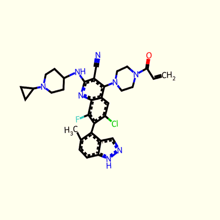 C=CC(=O)N1CCN(c2c(C#N)c(NC3CCN(C4CC4)CC3)nc3c(F)c(-c4c(C)ccc5[nH]ncc45)c(Cl)cc23)CC1